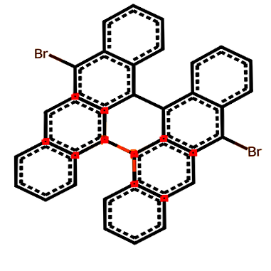 Brc1cc(P(c2ccccc2)c2ccccc2)c(-c2c(P(c3ccccc3)c3ccccc3)cc(Br)c3ccccc23)c2ccccc12